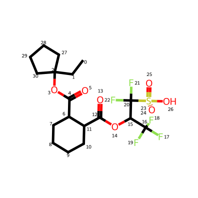 CCC1(OC(=O)C2CCCCC2C(=O)OC(C(F)(F)F)C(F)(F)S(=O)(=O)O)CCCC1